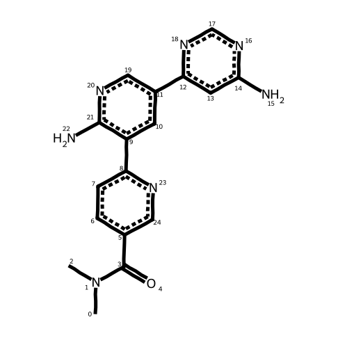 CN(C)C(=O)c1ccc(-c2cc(-c3cc(N)ncn3)cnc2N)nc1